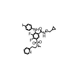 CN(CCc1ccccn1)S(=O)(=O)c1cc(C(=O)NOCC2CC2)c(Nc2ccc(I)cc2)c(F)c1F